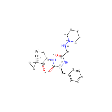 CC(C)C[C@H](NC(=O)[C@H](Cc1ccccc1)NC(=O)CNN1CCCCC1)C(=O)C1(C)CC1